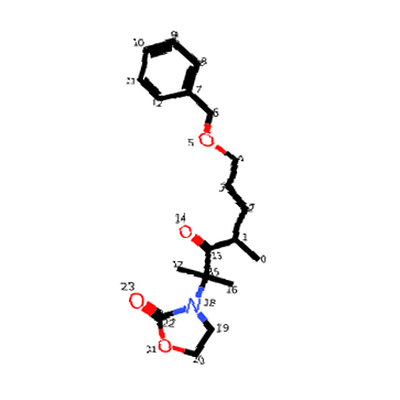 CC(CCCOCc1ccccc1)C(=O)C(C)(C)N1CCOC1=O